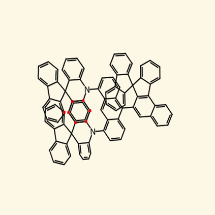 c1ccc2c(c1)-c1ccccc1C21c2ccccc2N(c2cccc3c(-c4cc5ccccc5c5c4C4(c6ccccc6-c6ccccc64)c4ccccc4-5)c4cccc(N5c6ccccc6C6(c7ccccc7-c7ccccc76)c6ccccc65)c4cc23)c2ccccc21